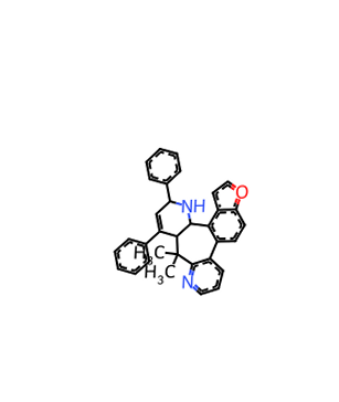 CC1(C)c2ncccc2-c2ccc3occc3c2C2NC(c3ccccc3)C=C(c3ccccc3)C21